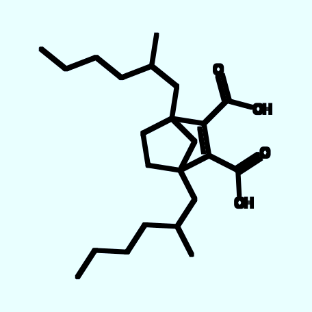 CCCCC(C)CC12CCC(CC(C)CCCC)(C1)C(C(=O)O)=C2C(=O)O